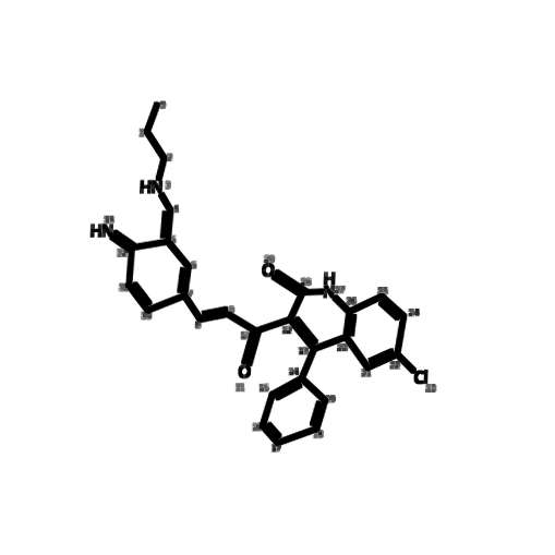 CCCN/C=C1C=C(/C=C/C(=O)c2c(-c3ccccc3)c3cc(Cl)ccc3[nH]c2=O)C=CC/1=N